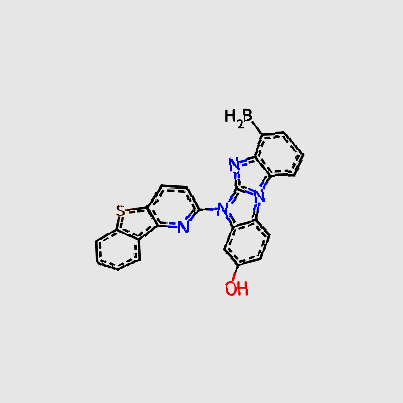 Bc1cccc2c1nc1n(-c3ccc4sc5ccccc5c4n3)c3cc(O)ccc3n21